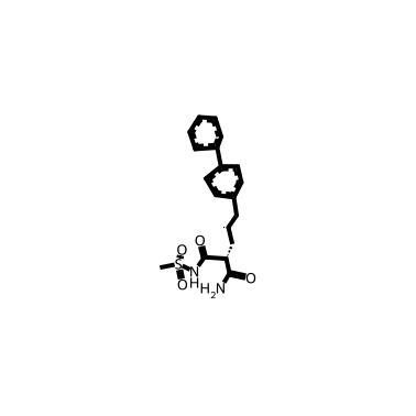 CS(=O)(=O)NC(=O)[C@H](C[CH]Cc1ccc(-c2ccccc2)cc1)C(N)=O